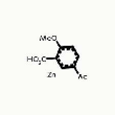 COc1ccc(C(C)=O)cc1C(=O)O.[Zn]